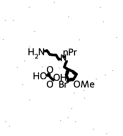 CCCN(CCCCN)CCc1ccc(OC)c(Br)c1.O=C(O)C(=O)O